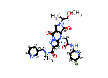 COCC(C)N1Cc2c(n(CC(=O)Nc3ccc(F)cn3)c3cc(C(=O)N(C)Cc4cccnc4)nn3c2=O)C1=O